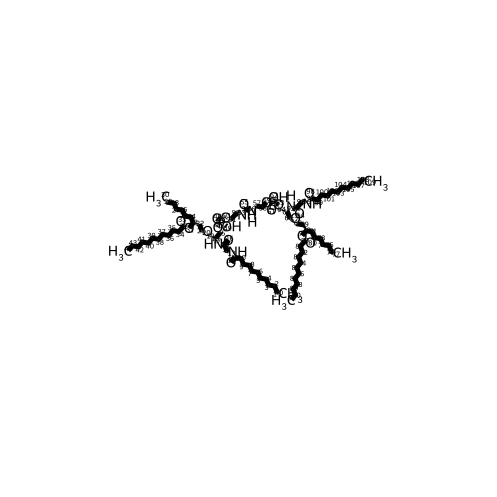 CCCCCCCCCCCC(=O)NCC(=O)N[C@H](COCC[C@@H](CCCCCCC)OC(=O)CCCCCCCCCCC)COP(=O)(O)OCCNC(=O)NCCOP(=O)(O)OC[C@@H](COCC[C@@H](CCCCCCC)OC(=O)CCCCCCCCCCC)NC(=O)CNC(=O)CCCCCCCCCCC